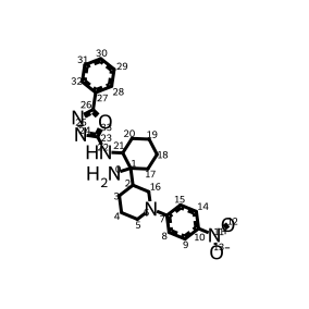 NC1(C2CCCN(c3ccc([N+](=O)[O-])cc3)C2)CCCCC1Nc1nnc(-c2ccccc2)o1